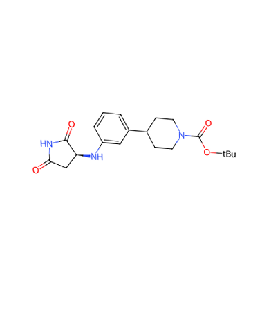 CC(C)(C)OC(=O)N1CCC(c2cccc(N[C@H]3CC(=O)NC3=O)c2)CC1